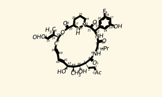 CC(=O)CC[C@H]1C(=O)N[C@@H](C(C)C)C(=O)NC(c2cc(O)cc(F)c2)C(=O)N2CCCC(N2)C(=O)O[C@H](/C(C)=C/C=O)C/C=C/C=C/[C@H](O)[C@H](C)[C@H]1O